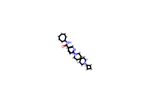 O=C(NC1CCCCCC1)c1ccc(N2CCC3(CC2)CCN(C2CCC2)CC3)nc1